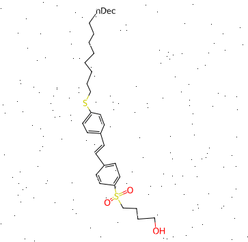 CCCCCCCCCCCCCCCCCCSc1ccc(C=Cc2ccc(S(=O)(=O)CCCCO)cc2)cc1